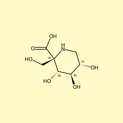 O=C(O)[C@]1(CO)NC[C@H](O)[C@@H](O)[C@@H]1O